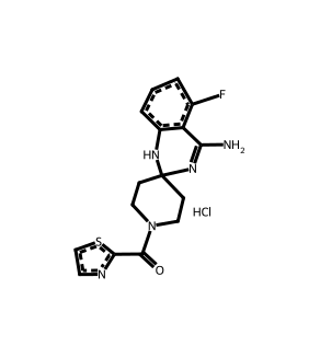 Cl.NC1=NC2(CCN(C(=O)c3nccs3)CC2)Nc2cccc(F)c21